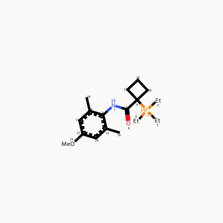 CC[PH](CC)(CC)C1(C(=O)Nc2c(C)cc(OC)cc2C)CCC1